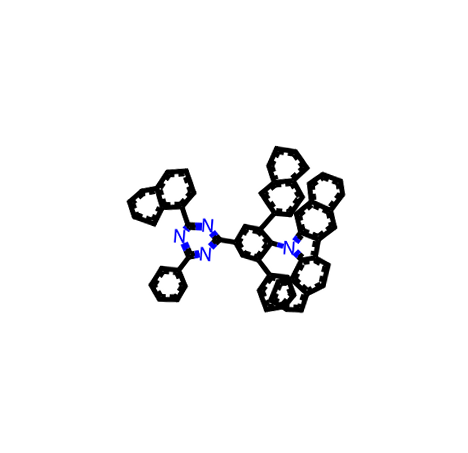 c1ccc(-c2nc(-c3cc(-c4ccccc4)c(-n4c5cc6ccccc6cc5c5ccc6ccccc6c54)c(-c4ccc5ccccc5c4)c3)nc(-c3cccc4ccccc34)n2)cc1